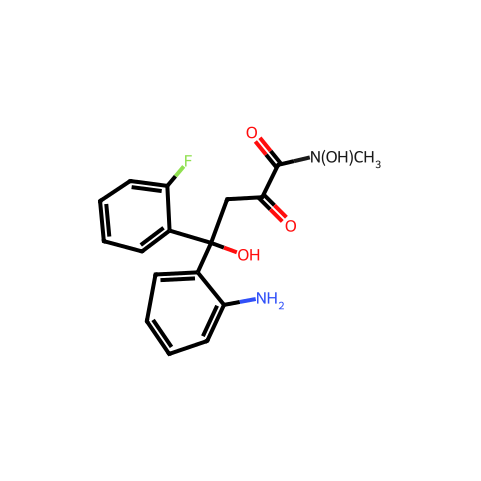 CN(O)C(=O)C(=O)CC(O)(c1ccccc1N)c1ccccc1F